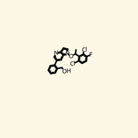 CC(On1ccc2ncc(-c3ccccc3CO)cc21)c1c(Cl)ccc(F)c1Cl